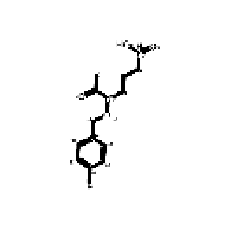 CC(=O)N(CCC[PH](=O)O)OCc1ccc(C)cc1